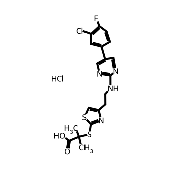 CC(C)(Sc1nc(CCNc2ncc(-c3ccc(F)c(Cl)c3)cn2)cs1)C(=O)O.Cl